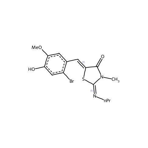 CCC/N=C1/S/C(=C\c2cc(OC)c(O)cc2Br)C(=O)N1C